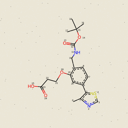 Cc1ncsc1-c1ccc(CNC(=O)OC(C)(C)C)c(OCCC(=O)O)c1